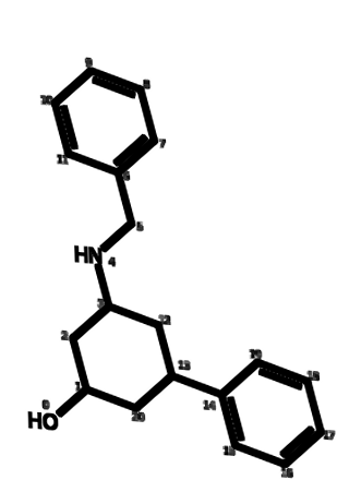 OC1CC(NCc2ccccc2)CC(c2ccccc2)C1